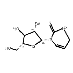 O=C1NCC=CN1[C@@H]1O[C@H](CO)C(O)[C@@H]1O